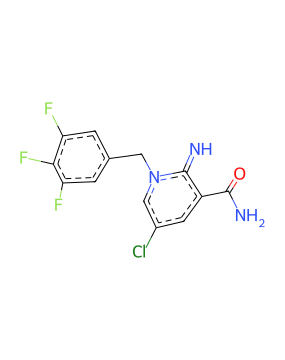 N=c1c(C(N)=O)cc(Cl)cn1Cc1cc(F)c(F)c(F)c1